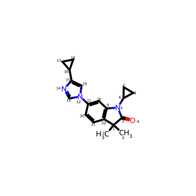 CC1(C)C(=O)N(C2CC2)c2cc(-n3cnc(C4CC4)c3)ccc21